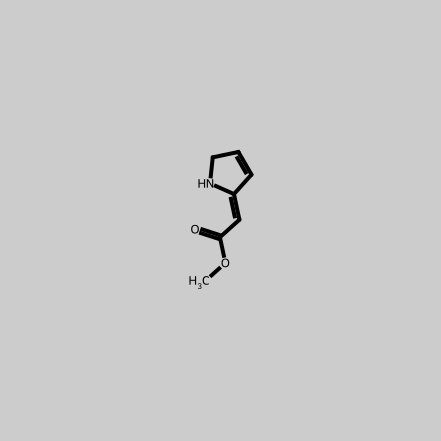 COC(=O)C=C1C=CCN1